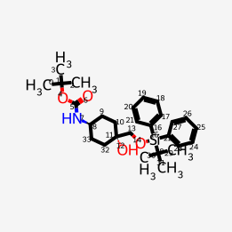 CC(C)(C)OC(=O)N[C@H]1CC[C@@](O)(CO[Si](c2ccccc2)(c2ccccc2)C(C)(C)C)CC1